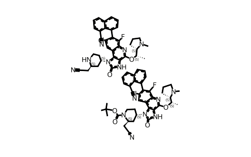 C[C@H](Oc1nc2c(F)c(-c3cccc4cccc(C#N)c34)c(Cl)cc2c2c1[nH]c(=O)n2[C@H]1CCN(C(=O)OC(C)(C)C)[C@H](CC#N)C1)[C@@H]1CCCN1C.C[C@H](Oc1nc2c(F)c(-c3cccc4cccc(C#N)c34)c(Cl)cc2c2c1[nH]c(=O)n2[C@H]1CCN[C@H](CC#N)C1)[C@@H]1CCCN1C